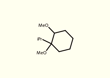 COC1CCCCC1(OC)C(C)C